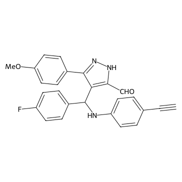 C#Cc1ccc(NC(c2ccc(F)cc2)c2c(-c3ccc(OC)cc3)n[nH]c2C=O)cc1